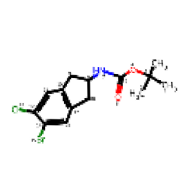 CC(C)(C)OC(=O)NC1Cc2cc(Cl)c(Br)cc2C1